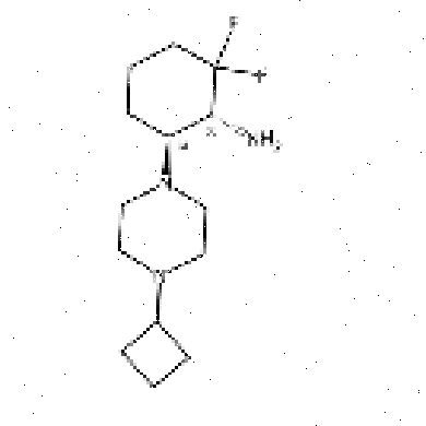 N[C@@H]1[C@@H](N2CCN(C3CCC3)CC2)CCCC1(F)F